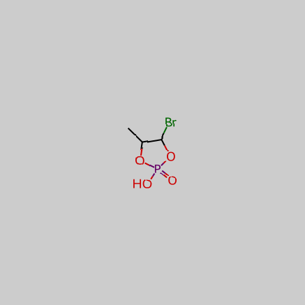 CC1OP(=O)(O)OC1Br